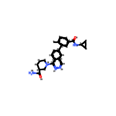 Cc1ccc(C(=O)NC2CC2)cc1-c1ccc2c(N3CCCC(C(N)=O)C3)nncc2c1